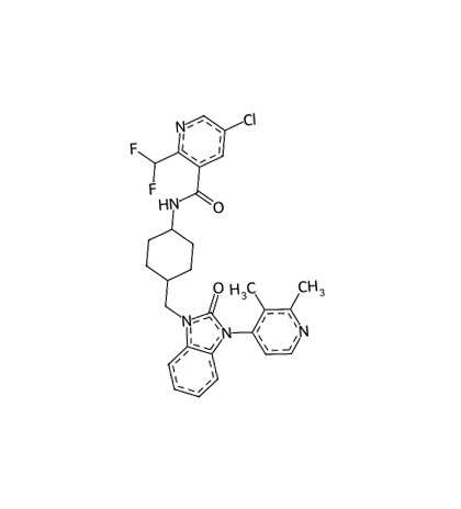 Cc1nccc(-n2c(=O)n(CC3CCC(NC(=O)c4cc(Cl)cnc4C(F)F)CC3)c3ccccc32)c1C